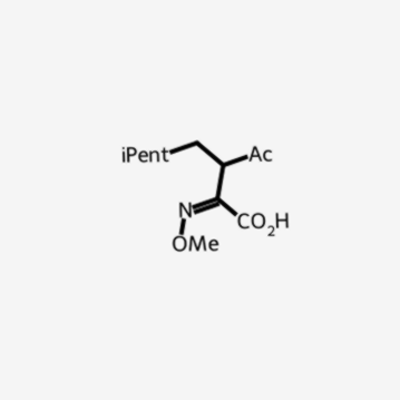 CCCC(C)CC(C(C)=O)C(=NOC)C(=O)O